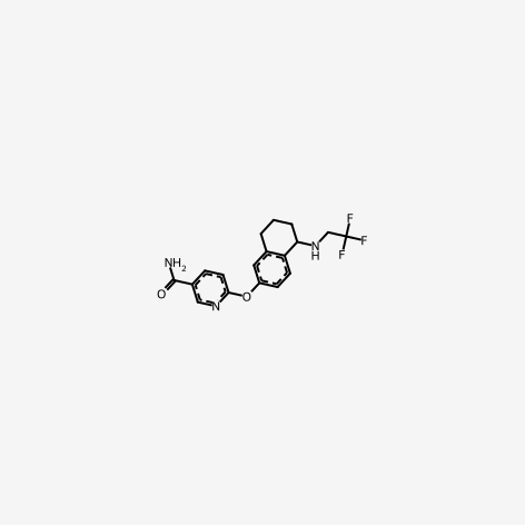 NC(=O)c1ccc(Oc2ccc3c(c2)CCCC3NCC(F)(F)F)nc1